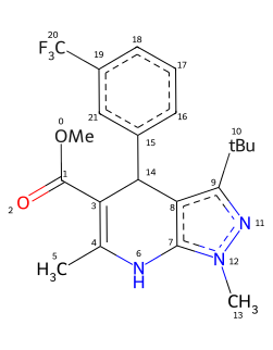 COC(=O)C1=C(C)Nc2c(c(C(C)(C)C)nn2C)C1c1cccc(C(F)(F)F)c1